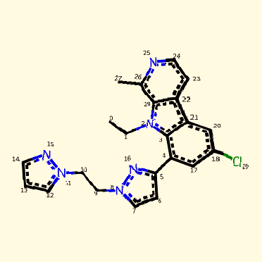 CCn1c2c(-c3ccn(CCn4cccn4)n3)cc(Cl)cc2c2ccnc(C)c21